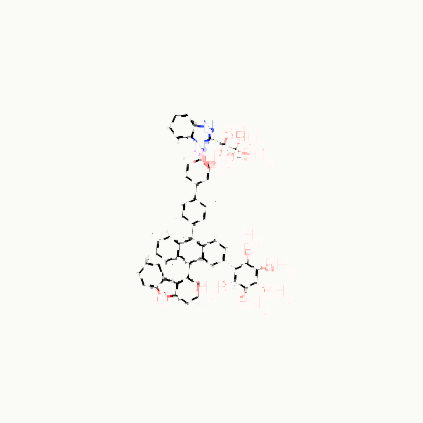 Bc1c(B)c(B)c(-c2ccc3c(-c4ccc(-c5ccc(-n6c(C(B)(B)C(B)(B)B)nc7ccccc76)cc5)cc4)c4ccccc4c(-c4cccc5oc6ccccc6c45)c3c2)c(B)c1B